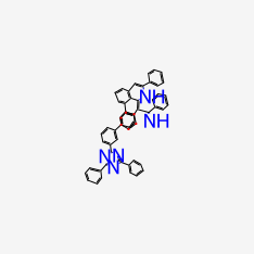 N=C(/C(=C1\NC(c2ccccc2)=Cc2cccc(-c3cccc(-c4cccc(-c5nc(-c6ccccc6)nc(-c6ccccc6)n5)c4)c3)c21)c1ccccc1)c1ccccc1